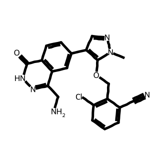 Cn1ncc(-c2ccc3c(=O)[nH]nc(CN)c3c2)c1OCc1c(Cl)cccc1C#N